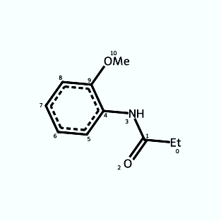 [CH2]CC(=O)Nc1ccccc1OC